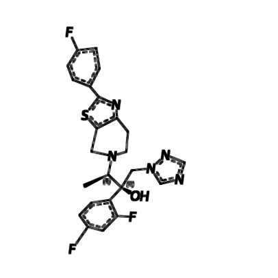 C[C@@H](N1CCc2nc(-c3ccc(F)cc3)sc2C1)[C@](O)(Cn1cncn1)c1ccc(F)cc1F